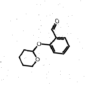 O=Cc1ccccc1OC1CCCCO1